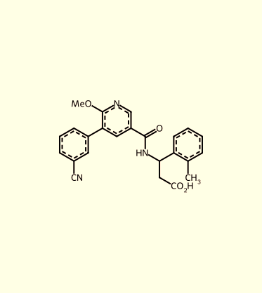 COc1ncc(C(=O)NC(CC(=O)O)c2ccccc2C)cc1-c1cccc(C#N)c1